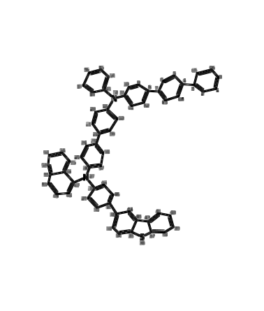 c1ccc(-c2ccc(-c3ccc(N(c4ccccc4)c4ccc(-c5ccc(N(c6ccc(-c7ccc8sc9ccccc9c8c7)cc6)c6cccc7ccccc67)cc5)cc4)cc3)cc2)cc1